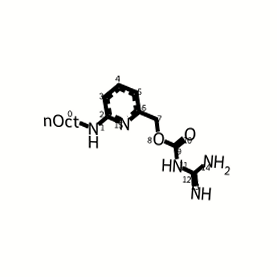 CCCCCCCCNc1cccc(COC(=O)NC(=N)N)n1